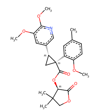 COc1ccc(C)cc1[C@]1(C(=O)O[C@H]2C(=O)OCC2(C)C)C[C@@H]1c1cnc(OC)c(OC)c1